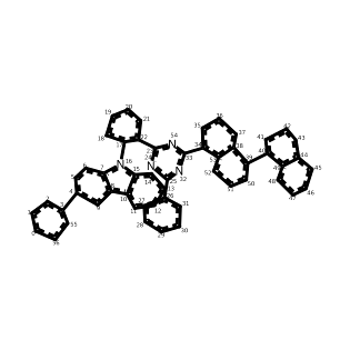 c1ccc(-c2ccc3c(c2)c2ccccc2n3-c2ccccc2-c2nc(-c3ccccc3)nc(-c3cccc4c(-c5cccc6ccccc56)cccc34)n2)cc1